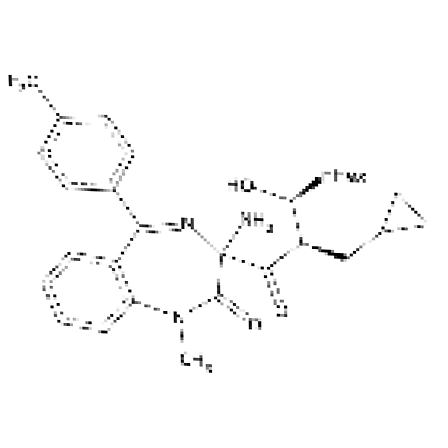 CCCCCC[C@H](O)[C@@H](CC1CC1)C(=O)C1(N)N=C(c2ccc(C(F)(F)F)cc2)c2ccccc2N(C)C1=O